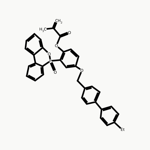 C=C(C)C(=O)Oc1ccc(OCc2ccc(-c3ccc(CC)cc3)cc2)cc1P1(=O)Oc2ccccc2-c2ccccc21